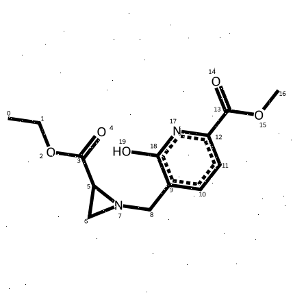 CCOC(=O)C1CN1Cc1ccc(C(=O)OC)nc1O